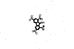 N=C1c2c(cc([N+](=O)[O-])cc2[N+](=O)[O-])-c2cc([N+](=O)[O-])cc([N+](=O)[O-])c21